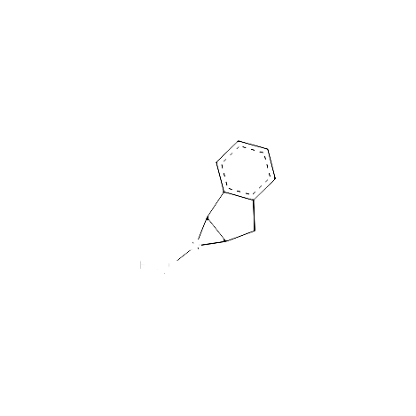 CCOC(=O)N1C2Cc3ccccc3C21